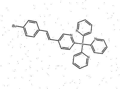 CCC(C)c1ccc(C=Cc2ccc([Si](c3ccccn3)(c3ccccn3)c3ccccn3)nc2)cc1